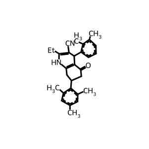 CCC1=C(C#N)C(c2cccc(C)c2C)C2=C(CC(c3c(C)cc(C)cc3C)CC2=O)N1